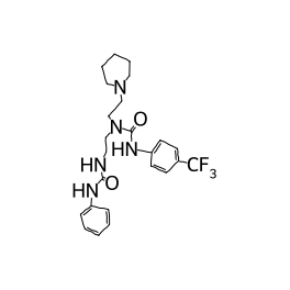 O=C(NCCN(CCN1CCCCC1)C(=O)Nc1ccc(C(F)(F)F)cc1)Nc1ccccc1